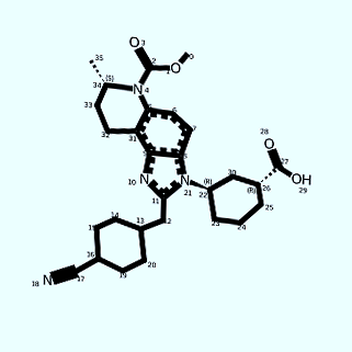 COC(=O)N1c2ccc3c(nc(CC4CCC(C#N)CC4)n3[C@@H]3CCC[C@@H](C(=O)O)C3)c2CC[C@@H]1C